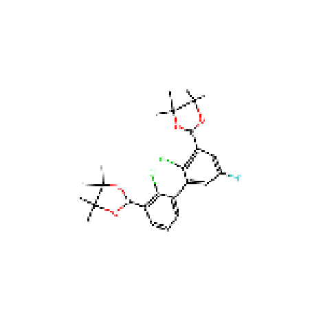 CC1(C)OB(c2cccc(-c3cc(F)cc(B4OC(C)(C)C(C)(C)O4)c3Cl)c2Cl)OC1(C)C